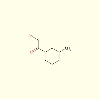 CC1CCCC(C(=O)CBr)C1